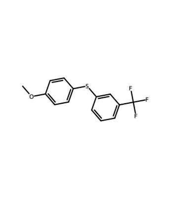 COc1ccc(Sc2cccc(C(F)(F)F)c2)cc1